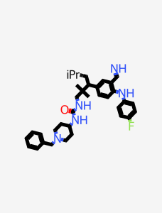 CC(C)CC(c1ccc(Nc2ccc(F)cc2)c(C=N)c1)C(C)(C)CNC(=O)NC1CCN(Cc2ccccc2)CC1